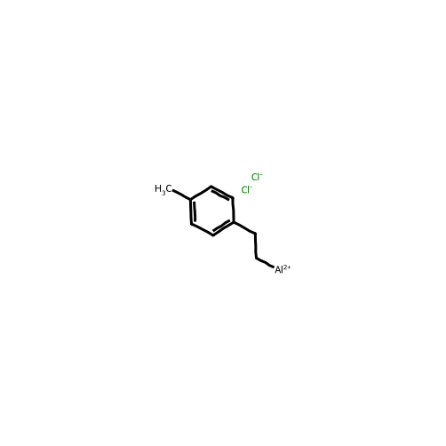 Cc1ccc(C[CH2][Al+2])cc1.[Cl-].[Cl-]